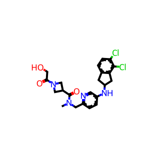 CN(Cc1ccc(NC2Cc3ccc(Cl)c(Cl)c3C2)cn1)C(=O)C1CN(C(=O)CO)C1